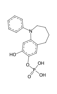 O=P(O)(O)Oc1cc2c(cc1O)N(c1ccccc1)CCCC2